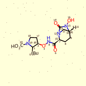 CC(C)(C)C1[C@H](ONC(=O)[C@@H]2CC[C@@H]3CN2C(=O)N3O)CCN1C(=O)O